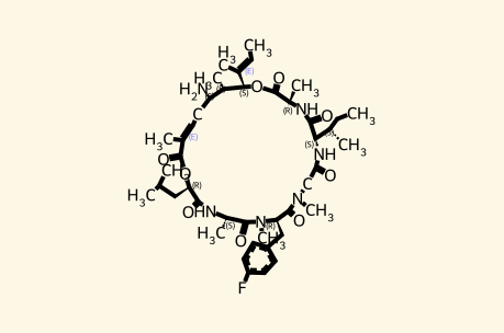 C/C=C(\C)[C@H]1OC(=O)[C@@H](C)NC(=O)[C@H]([C@@H](C)CC)NC(=O)CN(C)C(=O)[C@@H](Cc2ccc(F)cc2)N(C)C(=O)[C@H](C)NC(=O)[C@@H](CC(C)C)OC(=O)/C(C)=C/C[C@H](N)[C@@H]1C